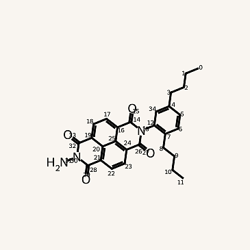 CCCCc1ccc(CCCC)c(N2C(=O)c3ccc4c5c(ccc(c35)C2=O)C(=O)N(N)C4=O)c1